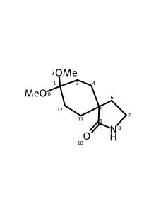 COC1(OC)CCC2(CCNC2=O)CC1